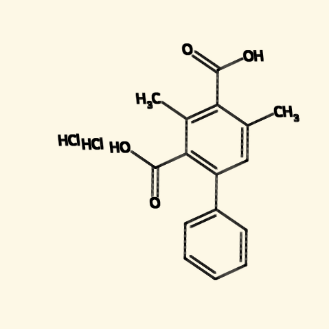 Cc1cc(-c2ccccc2)c(C(=O)O)c(C)c1C(=O)O.Cl.Cl